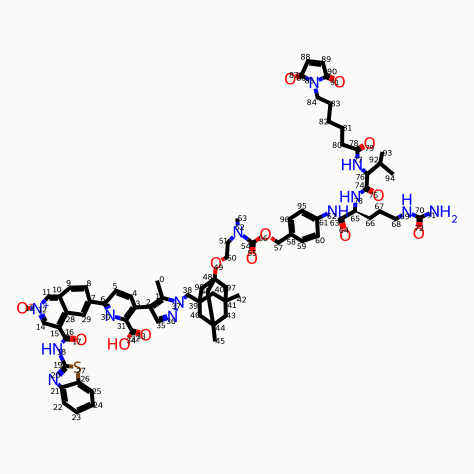 Cc1c(-c2ccc(-c3ccc4c[n+]([O-])cc(C(=O)Nc5nc6ccccc6s5)c4c3)nc2C(=O)O)cnn1CC12CC3(C)CC(C)(C1)CC(OCCN(C)C(=O)OCc1ccc(NC(=O)[C@H](CCCNC(N)=O)NC(=O)C(NC(=O)CCCCCN4C(=O)C=CC4=O)C(C)C)cc1)(C3)C2